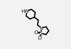 O=S1(=O)CCCN1CCC1CCNCC1